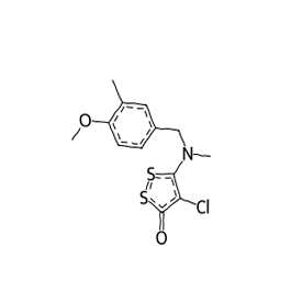 COc1ccc(CN(C)c2ssc(=O)c2Cl)cc1C